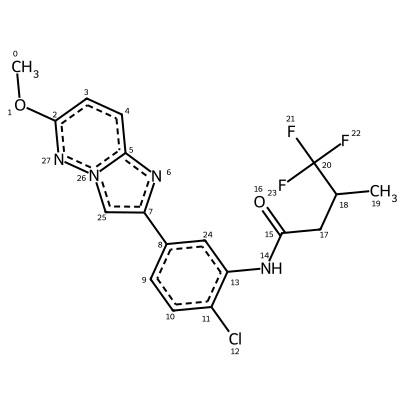 COc1ccc2nc(-c3ccc(Cl)c(NC(=O)CC(C)C(F)(F)F)c3)cn2n1